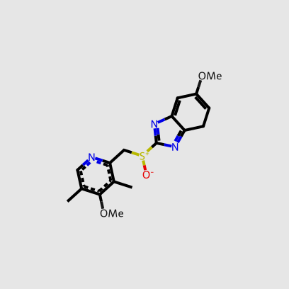 COC1=CCC2=NC([S+]([O-])Cc3ncc(C)c(OC)c3C)=NC2=C1